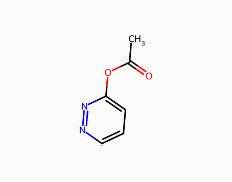 CC(=O)Oc1cc[c]nn1